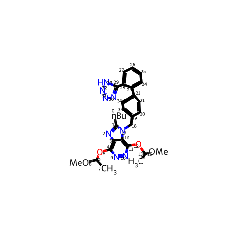 CCCCc1nc2c(OC(C)OC)nnc(OC(C)OC)c2n1Cc1ccc(-c2ccccc2-c2nnn[nH]2)cc1